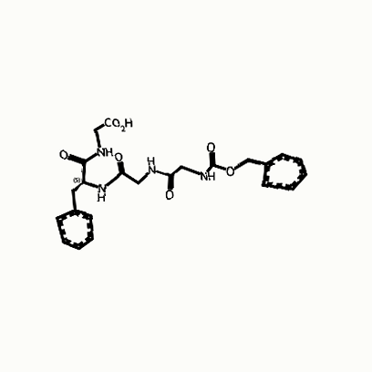 O=C(O)CNC(=O)[C@H](Cc1ccccc1)NC(=O)CNC(=O)CNC(=O)OCc1ccccc1